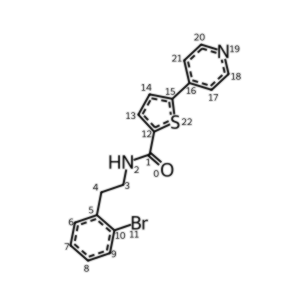 O=C(NCCc1ccccc1Br)c1ccc(-c2ccncc2)s1